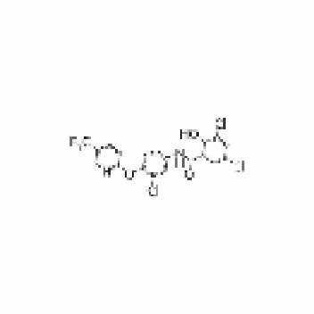 O=C(Nc1ccc(Oc2ccc(C(F)(F)F)cn2)c(Cl)c1)c1cc(Cl)cc(Cl)c1O